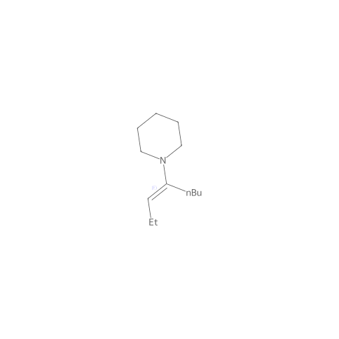 CC/C=C(\CCCC)N1CCCCC1